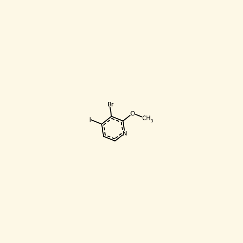 COc1nccc(I)c1Br